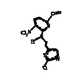 CCN(Cc1cnc(Cl)s1)c1nc(OC)ccc1[N+](=O)[O-]